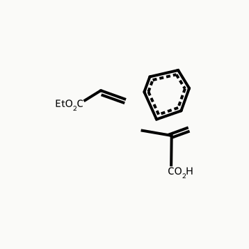 C=C(C)C(=O)O.C=CC(=O)OCC.c1ccccc1